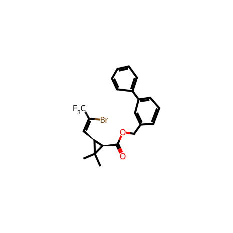 CC1(C)[C@H](C(=O)OCc2cccc(-c3ccccc3)c2)[C@@H]1C=C(Br)C(F)(F)F